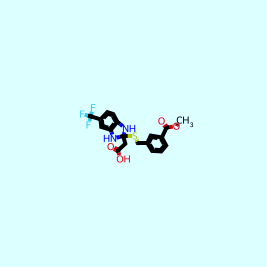 COC(=O)c1cccc(CSC2(CC(=O)O)Nc3ccc(C(F)(F)F)cc3N2)c1